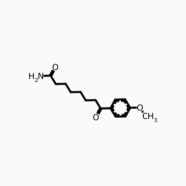 COc1ccc(C(=O)CCCCCCC(N)=O)cc1